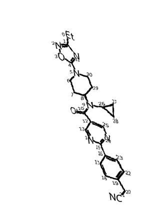 CCc1noc(N2CCC(N(C(=O)c3cnc(-c4ccc(CC#N)cc4)nc3)C3CC3)CC2)n1